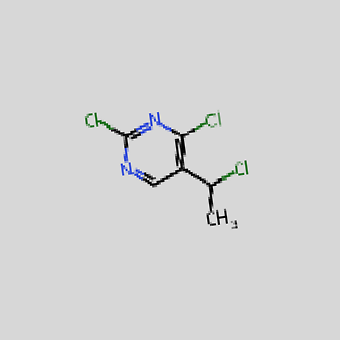 CC(Cl)c1cnc(Cl)nc1Cl